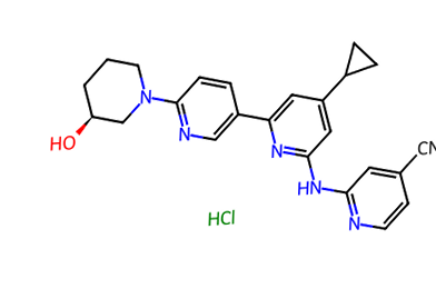 Cl.N#Cc1ccnc(Nc2cc(C3CC3)cc(-c3ccc(N4CCC[C@H](O)C4)nc3)n2)c1